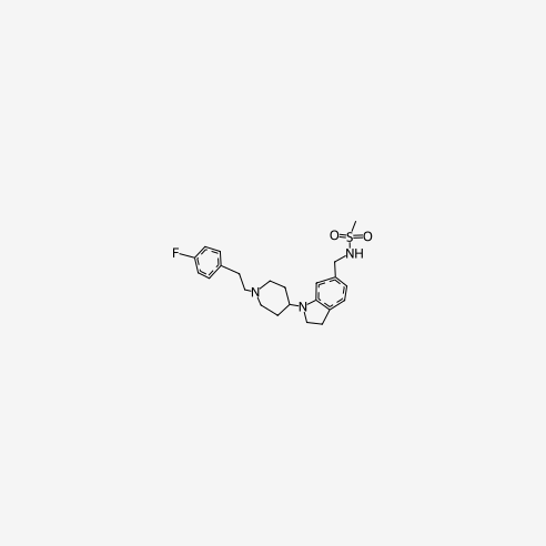 CS(=O)(=O)NCc1ccc2c(c1)N(C1CCN(CCc3ccc(F)cc3)CC1)CC2